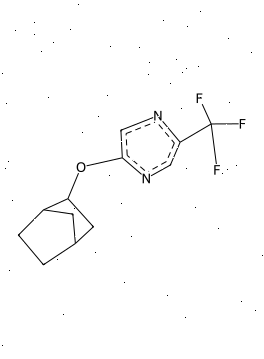 FC(F)(F)c1cnc(OC2CC3CCC2C3)cn1